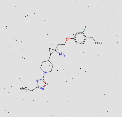 COCc1noc(N2CCC(C3CC3(N)CCOc3ccc(CC=O)c(F)c3)CC2)n1